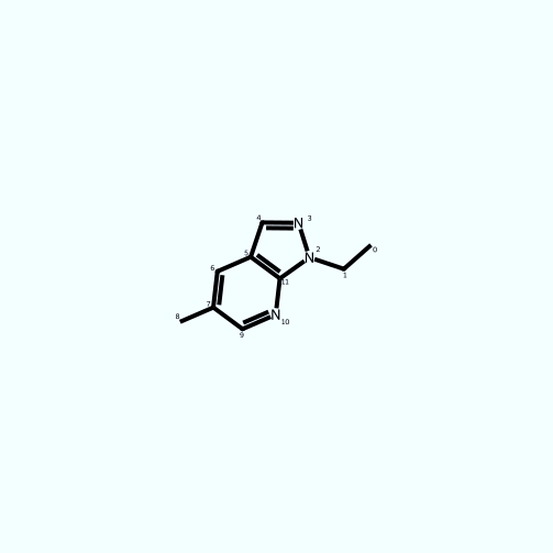 CCn1ncc2cc(C)cnc21